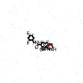 O=C(NCc1ccc(F)cc1F)C1=CC2=C[N+]34CCCC(=O)C3(CNCC4)[N+]2(O)C1=O